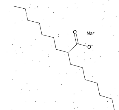 CCCCCCCC(CCCCCCC)C(=O)[O-].[Na+]